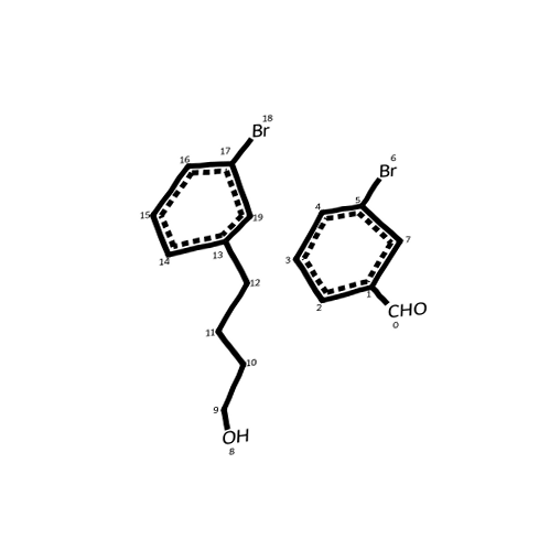 O=Cc1cccc(Br)c1.OCCCCc1cccc(Br)c1